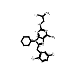 CC(N)CNc1nc(N)c2nc(Cc3cc(Cl)ccc3N)n(C3CCCCC3)c2n1